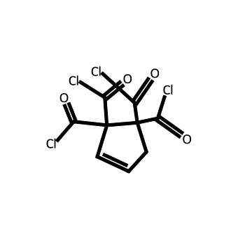 O=C(Cl)C1(C(=O)Cl)C=CCC1(C(=O)Cl)C(=O)Cl